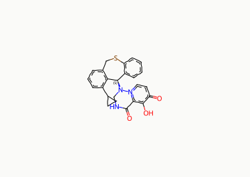 O=C1NCN([C@@H]2c3ccccc3SCc3cccc(C4CC4)c32)n2ccc(=O)c(O)c21